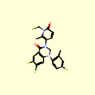 Cc1cc(F)ccc1N1CN(c2ccc(=O)n(CCl)c2C)C(=O)c2cc(F)c(Cl)cc21